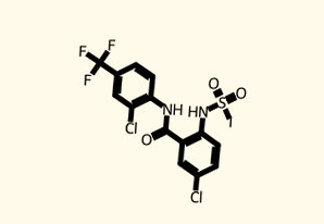 O=C(Nc1ccc(C(F)(F)F)cc1Cl)c1cc(Cl)ccc1NS(=O)(=O)I